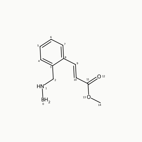 BNCc1ccccc1/C=C/C(=O)OC